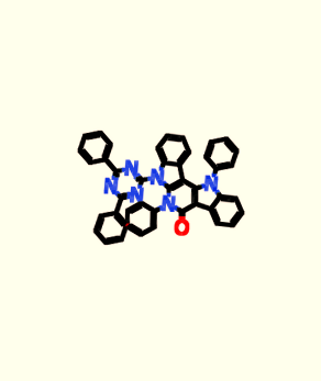 O=c1c2c3ccccc3n(-c3ccccc3)c2c2c3ccccc3n(-c3nc(-c4ccccc4)nc(-c4ccccc4)n3)c2n1-c1ccccc1